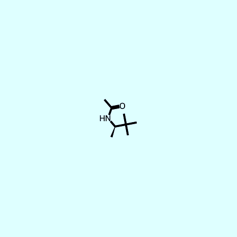 CC(=O)N[C@H](C)C(C)(C)C